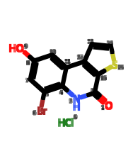 Cl.O=c1[nH]c2c(Br)cc(O)cc2c2ccsc12